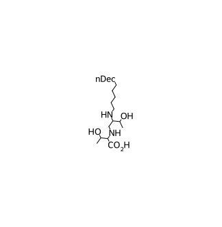 CCCCCCCCCCCCCCCNC(CNC(C(=O)O)C(C)O)C(C)O